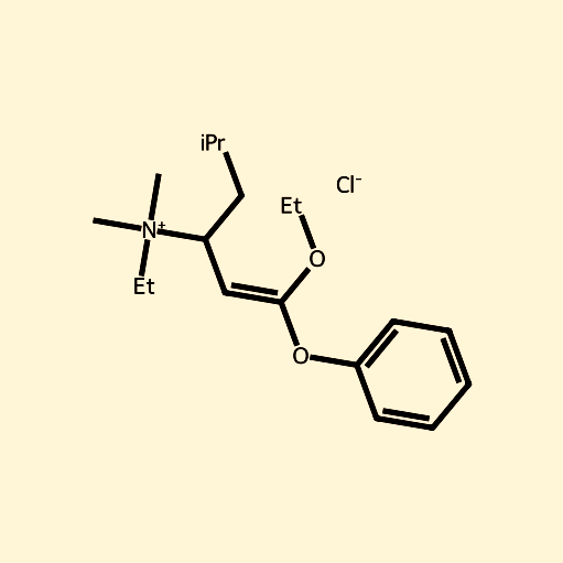 CCOC(=CC(CC(C)C)[N+](C)(C)CC)Oc1ccccc1.[Cl-]